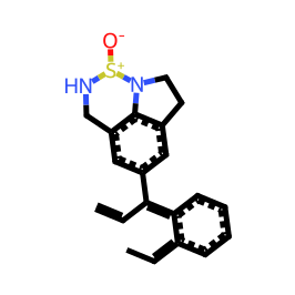 C=C/C(c1cc2c3c(c1)CN[S+]([O-])N3CC2)=c1/cccc/c1=C/C